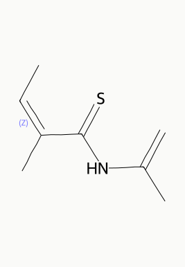 C=C(C)NC(=S)/C(C)=C\C